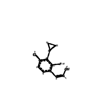 O/N=C\c1ccc(Cl)c(C2CC2)c1F